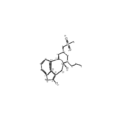 CCCN1C[C@H](CS(C)(=O)=O)CC2c3cccc4[nH]c(Cl)c(c34)C[C@H]21